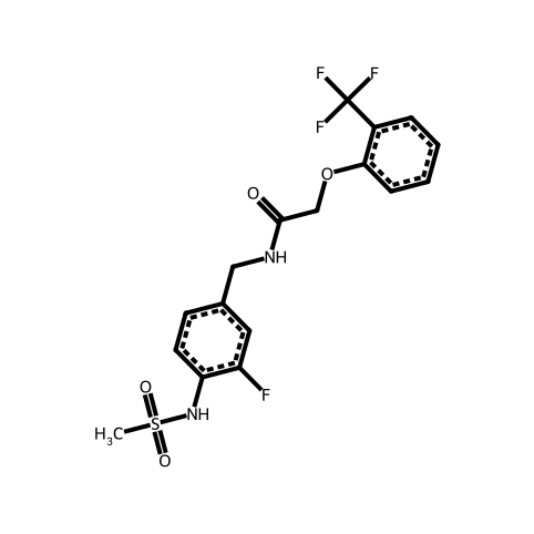 CS(=O)(=O)Nc1ccc(CNC(=O)COc2ccccc2C(F)(F)F)cc1F